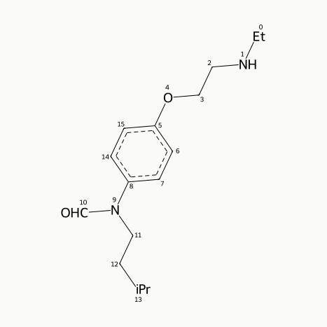 CCNCCOc1ccc(N(C=O)CCC(C)C)cc1